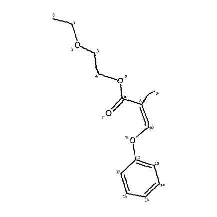 CCOCCOC(=O)C(C)=COc1ccccc1